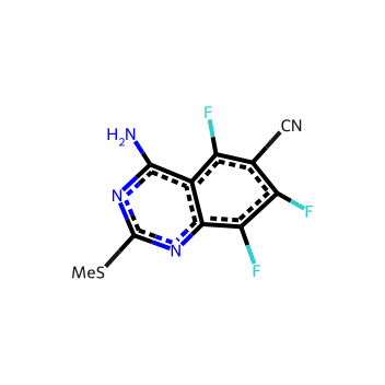 CSc1nc(N)c2c(F)c(C#N)c(F)c(F)c2n1